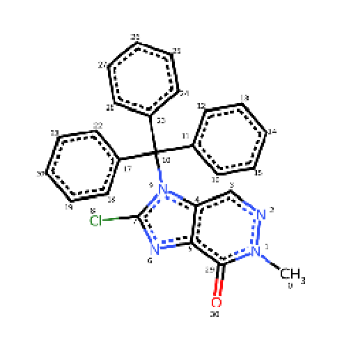 Cn1ncc2c(nc(Cl)n2C(c2ccccc2)(c2ccccc2)c2ccccc2)c1=O